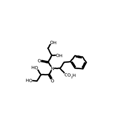 O=C(O)C(Cc1ccccc1)N(C(=O)C(O)CO)C(=O)C(O)CO